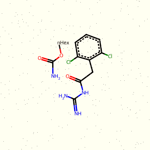 CCCCCCOC(N)=O.N=C(N)NC(=O)Cc1c(Cl)cccc1Cl